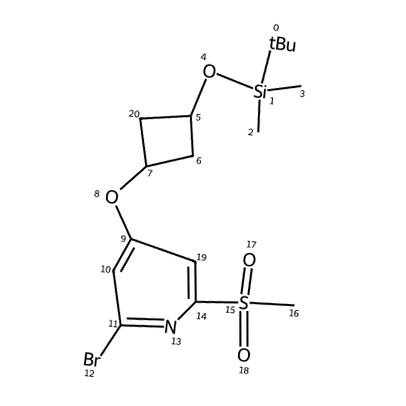 CC(C)(C)[Si](C)(C)OC1CC(Oc2cc(Br)nc(S(C)(=O)=O)c2)C1